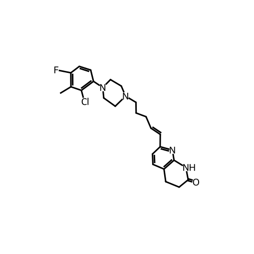 Cc1c(F)ccc(N2CCN(CCC/C=C/c3ccc4c(n3)NC(=O)CC4)CC2)c1Cl